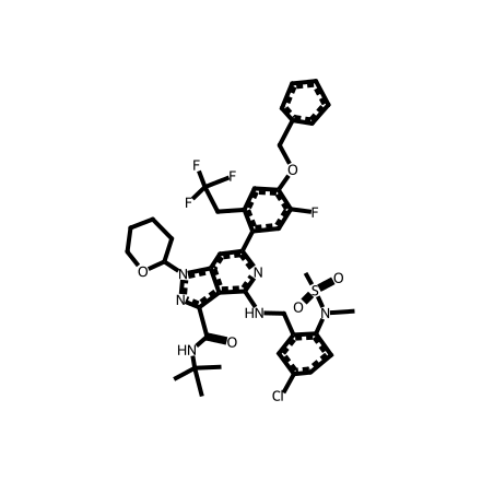 CN(c1ccc(Cl)cc1CNc1nc(-c2cc(F)c(OCc3ccccc3)cc2CC(F)(F)F)cc2c1c(C(=O)NC(C)(C)C)nn2C1CCCCO1)S(C)(=O)=O